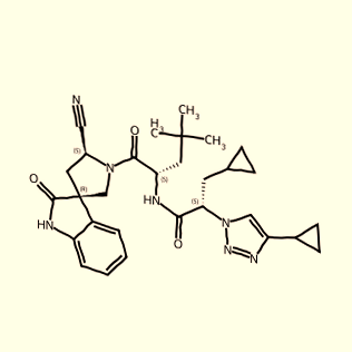 CC(C)(C)C[C@H](NC(=O)[C@H](CC1CC1)n1cc(C2CC2)nn1)C(=O)N1C[C@]2(C[C@H]1C#N)C(=O)Nc1ccccc12